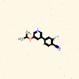 CC(C)Oc1cncc(-c2ccc(C#N)c(F)c2)c1